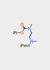 CCCC(C)N(C)CCN(C)C(=O)OC(C)C